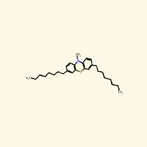 CCCCCCCCc1ccc2c(c1)Sc1cc(CCCCCCCC)ccc1N2C